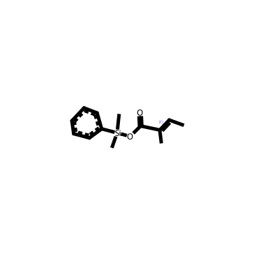 C/C=C(\C)C(=O)O[Si](C)(C)c1ccccc1